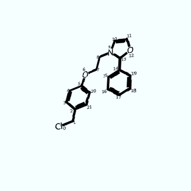 ClCc1ccc(OCCN2C=COC2c2ccccc2)cc1